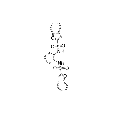 O=S(=O)(Nc1ccccc1NS(=O)(=O)c1cc2ccccc2o1)c1cc2ccccc2o1